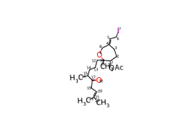 CC(=O)O[C@@H]1CC/C(=C\CI)CO[C@@]1(C)CCCC(C)C(=O)CC=C(C)C